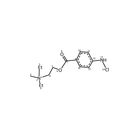 CC[N+](C)(CC)CCOC(=O)c1ccc(NCl)cc1